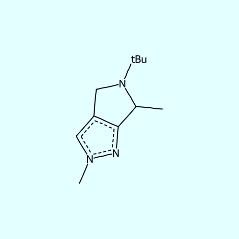 CC1c2nn(C)cc2CN1C(C)(C)C